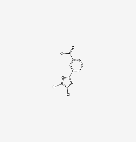 O=C(Cl)c1cccc(-c2nc(Cl)c(Cl)o2)c1